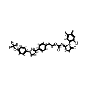 Cc1cc(Cl)c(N2C(=O)CS/C2=N\C(=O)OCCc2ccc(-c3ncn(-c4ccc(OC(F)(F)F)cc4)n3)cc2)cc1C